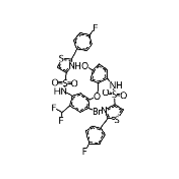 O=S(=O)(Nc1ccc(O)cc1Oc1cc(NS(=O)(=O)c2csc(-c3ccc(F)cc3)n2)c(C(F)F)cc1Br)c1csc(-c2ccc(F)cc2)n1